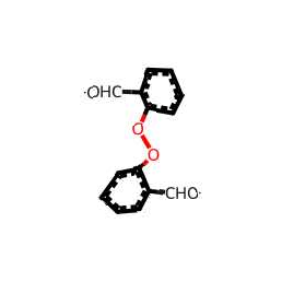 O=[C]c1ccccc1OOc1ccccc1[C]=O